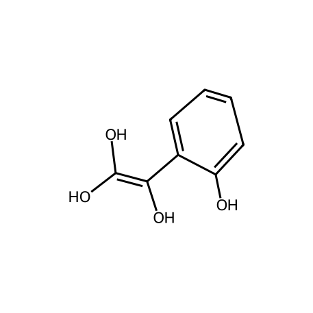 OC(O)=C(O)c1ccccc1O